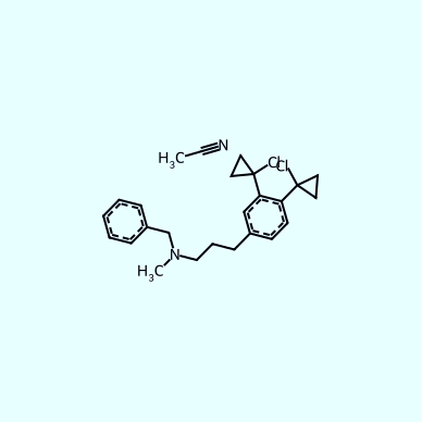 CC#N.CN(CCCc1ccc(C2(Cl)CC2)c(C2(Cl)CC2)c1)Cc1ccccc1